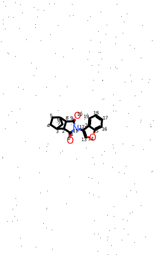 O=C1C2C3CCC(C3)C2C(=O)N1c1coc2ccccc12